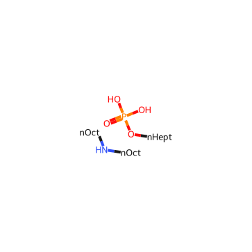 CCCCCCCCNCCCCCCCC.CCCCCCCOP(=O)(O)O